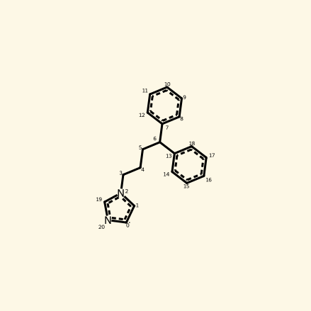 [c]1cn(CCCC(c2ccccc2)c2ccccc2)cn1